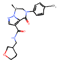 C[C@H]1CN(c2ccc(C(F)(F)F)cc2)C(=O)c2c(C(=O)NCC3CCOC3)cnn21